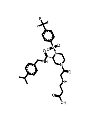 CC(C)c1ccc(CNC(=O)[C@H]2CN(C(=O)CNCCC(=O)O)CCN2S(=O)(=O)c2ccc(C(F)(F)F)cc2)cc1